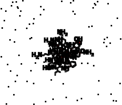 CCC(C)C(NC(=O)C(CO)NC(=O)C(CCCCN)NC(=O)C(CCCNC(=N)N)NC(=O)C(Cc1ccccc1)NC(=O)C(Cc1ccccc1)NC(=O)CON)C(=O)NC(C(=O)NC(CC(N)=O)C(=O)NC(Cc1ccccc1)C(=O)NC(CCC(=O)O)C(=O)NC(CCCCN)C(=O)NC(CC(C)C)C(=O)O)C(C)CC